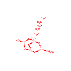 O.O.O.O.O.O.O.OB1OB2OB(O)OB(O1)O2